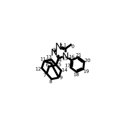 Cc1nnc(C23CC4CC(CC(C4)C2)C3)n1-c1ccccc1